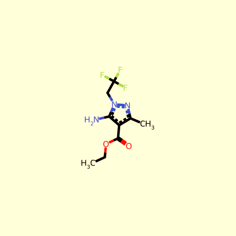 CCOC(=O)c1c(C)nn(CC(F)(F)F)c1N